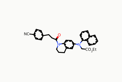 CCOC(=O)CN(c1ccc2c(c1)CCCN2C(=O)CCc1ccc(C#N)cc1)c1cccc2ccccc12